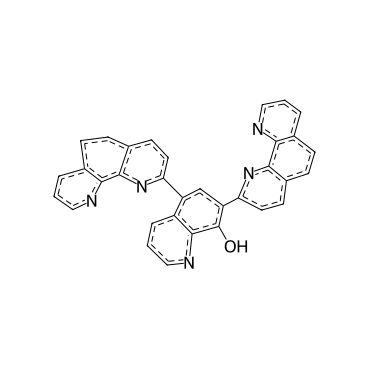 Oc1c(-c2ccc3ccc4cccnc4c3n2)cc(-c2ccc3ccc4cccnc4c3n2)c2cccnc12